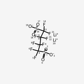 O=S(=O)([O-])C(F)(F)C(F)(F)C(F)(F)C(F)(F)S(=O)(=O)[O-].[Li+].[Li+]